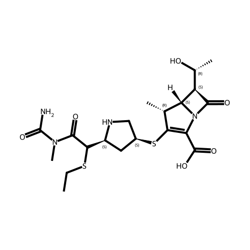 CCSC(C(=O)N(C)C(N)=O)[C@@H]1C[C@H](SC2=C(C(=O)O)N3C(=O)[C@H]([C@@H](C)O)[C@H]3[C@H]2C)CN1